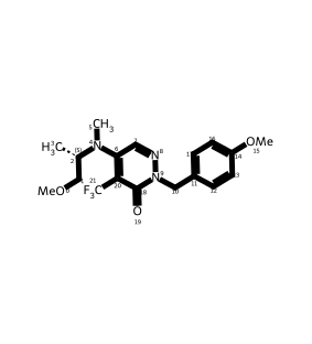 COC[C@H](C)N(C)c1cnn(Cc2ccc(OC)cc2)c(=O)c1C(F)(F)F